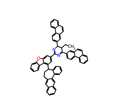 CCC1C(c2ccc3c(ccc4ccccc43)c2)=NC(c2cc(C3CCc4cc5ccccc5cc4-c4ccccc43)c3c(c2)oc2ccccc23)=NC1c1ccc2c(ccc3ccccc32)c1